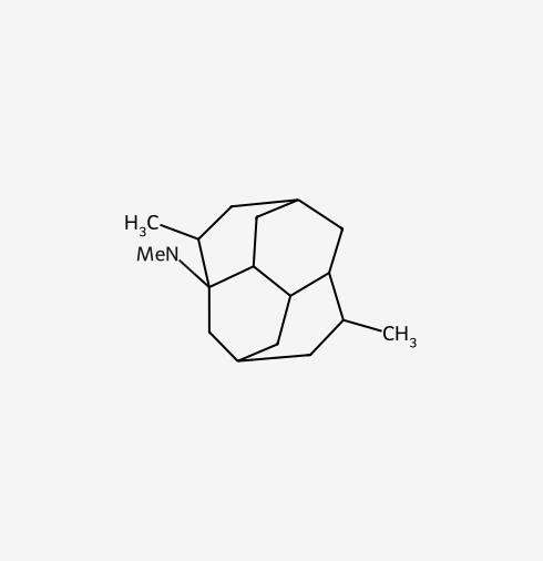 CNC12CC3CC(C)C4CC(CC1C)CC2C4C3